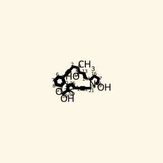 CC(CC#Cc1ccccc1)[C@@H](O)/C=C/[C@H]1CCC(O)N1CC#Cc1ccc(C(=O)O)s1